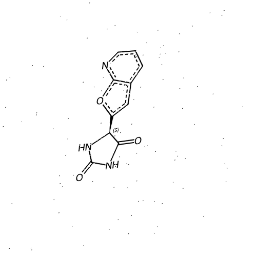 O=C1NC(=O)[C@H](c2cc3cccnc3o2)N1